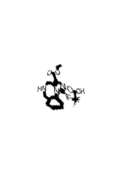 CCOC(=O)c1ncn2c1CNCc1ccccc1-2.O=C(O)C(F)(F)F